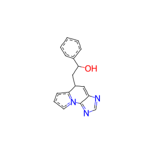 OC(CC1C=C2N=CN=C2n2cccc21)c1ccccc1